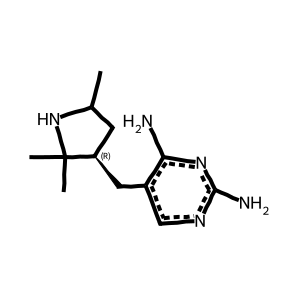 CC1C[C@@H](Cc2cnc(N)nc2N)C(C)(C)N1